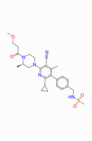 COCCC(=O)N1CCN(c2nc(C3CC3)c(-c3ccc(CNS(C)(=O)=O)cc3)c(C)c2C#N)C[C@H]1C